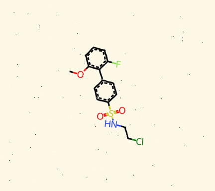 COc1cccc(F)c1-c1ccc(S(=O)(=O)NCCCl)cc1